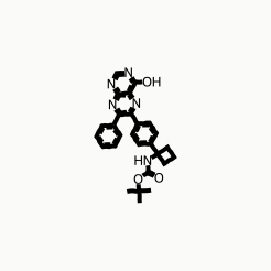 CC(C)(C)OC(=O)NC1(c2ccc(-c3nc4c(O)ncnc4nc3-c3ccccc3)cc2)CCC1